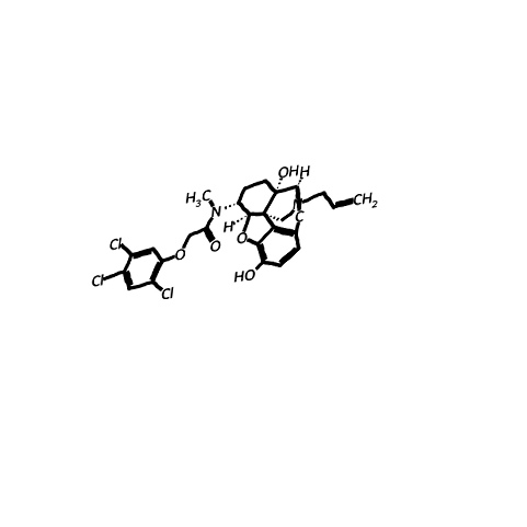 C=CCN1CC[C@]23c4c5ccc(O)c4O[C@H]2[C@H](N(C)C(=O)COc2cc(Cl)c(Cl)cc2Cl)CC[C@@]3(O)[C@H]1C5